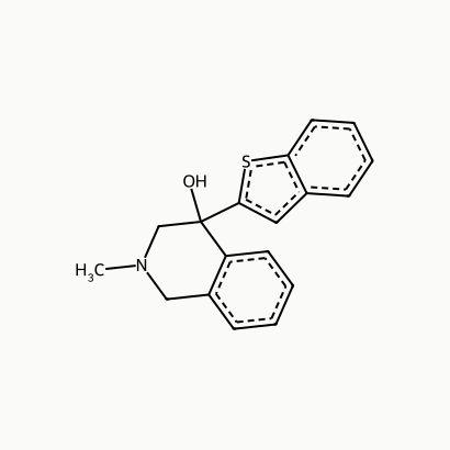 CN1Cc2ccccc2C(O)(c2cc3ccccc3s2)C1